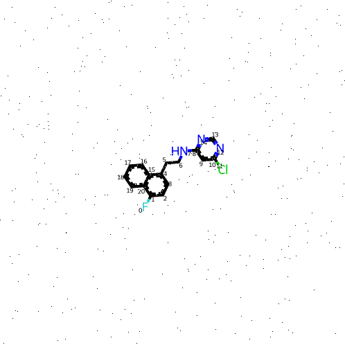 Fc1ccc(CCNc2cc(Cl)ncn2)c2ccccc12